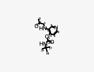 CC(=O)CNc1cnccc1OC(=O)NC(C)(C)C